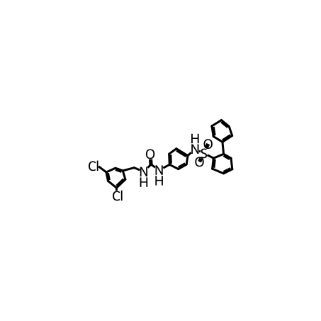 O=C(NCc1cc(Cl)cc(Cl)c1)Nc1ccc(NS(=O)(=O)c2ccccc2-c2ccccc2)cc1